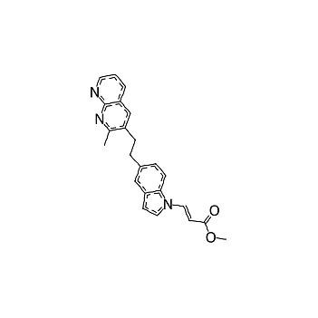 COC(=O)C=Cn1ccc2cc(CCc3cc4cccnc4nc3C)ccc21